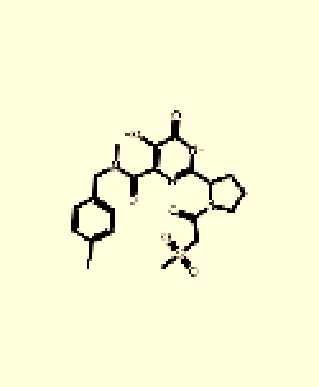 CN(Cc1ccc(F)cc1)C(=O)c1nc(C2CCCN2C(=O)CS(C)(=O)=O)[nH]c(=O)c1O